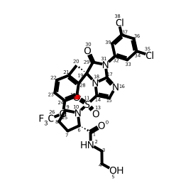 O=C(NCCO)[C@@H]1CCCN1S(=O)(=O)c1cnc2n1[C@]1(Cc3ccc(OC(F)(F)F)cc31)C(=O)N2c1cc(Cl)cc(Cl)c1